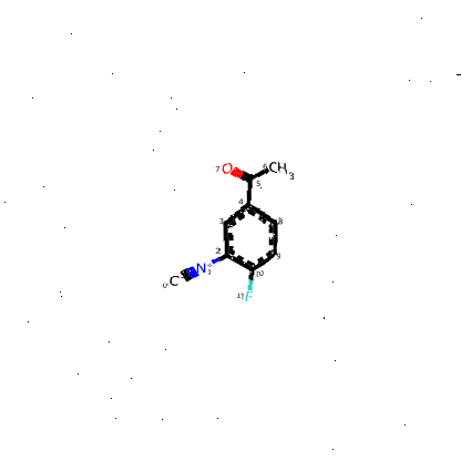 [C-]#[N+]c1cc(C(C)=O)ccc1F